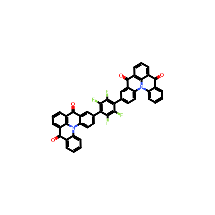 O=c1c2ccccc2n2c3ccc(-c4c(F)c(F)c(-c5ccc6c(c5)c(=O)c5cccc7c(=O)c8ccccc8n6c75)c(F)c4F)cc3c(=O)c3cccc1c32